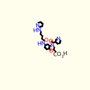 O=C(O)CC1CN(C(=O)c2cccnc2)c2cc(NC(=O)CCCCNc3ccccn3)ccc2O1